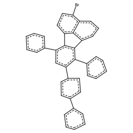 Brc1ccc2c3c(cccc13)-c1c(-c3ccccc3)c(-c3ccc(-c4ccccc4)cc3)cc(-c3ccccc3)c1-2